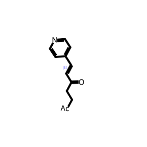 CC(=O)CCC(=O)/C=C/c1ccncc1